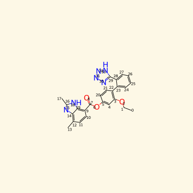 CCOc1cc(OC(=O)c2ccc(C)c3nc(C)[nH]c23)ccc1-c1ccccc1-c1nnn[nH]1